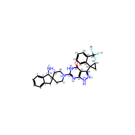 N[C@@H]1c2ccccc2CC12CCN(c1nc3[nH]nc(C4(c5ccccc5C(F)(F)F)CC4)c3c(=O)[nH]1)CC2